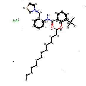 Br.CCCCCCCCCCCCCCOc1c(C(=O)Nc2ccccc2CN2C=CSC2)cccc1C(C)(C)C